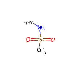 CC[CH]NS(C)(=O)=O